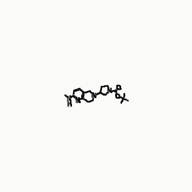 CNc1ccc2c(n1)CCN(C1CCN(C(=O)OC(C)(C)C)C1)C2